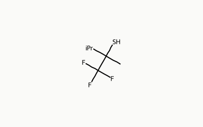 CC(C)C(C)(S)C(F)(F)F